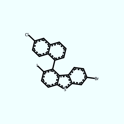 Clc1ccc2c(-c3c(I)ccc4sc5cc(Br)ccc5c34)cccc2c1